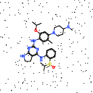 Cc1cc(Nc2nc3c(c(Nc4ccccc4[S+]([O-])C(C)C)n2)CCN3)c(OC(C)C)cc1N1CCC(N(C)C)CC1